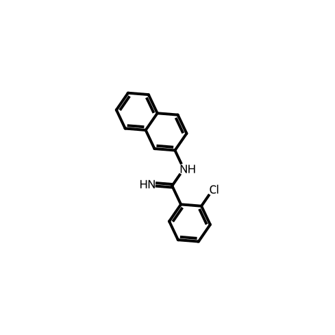 N=C(Nc1ccc2ccccc2c1)c1ccccc1Cl